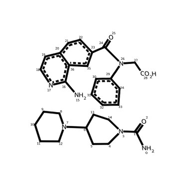 NC(=O)N1CCC(N2CCCCC2)CC1.Nc1nccc2ccc(C(=O)N(CC(=O)O)c3ccccc3)cc12